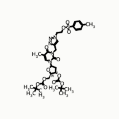 Cc1ccc(S(=O)(=O)OCCn2cc(Cn3c(=O)c(C)cn(C4C[C@H](OC(=O)OC(C)(C)C)[C@@H](COC(=O)OC(C)(C)C)O4)c3=O)nn2)cc1